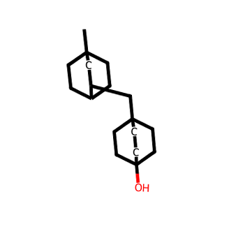 CC12CCC(CC1)C(CC13CCC(O)(CC1)CC3)C2